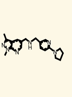 Cc1nn(C)c2ncc(CNCc3ccc(N4CCCC4)nc3)cc12